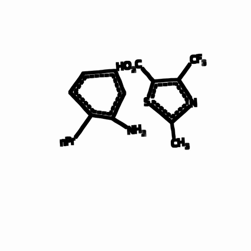 CCCc1ccccc1N.Cc1nc(C(F)(F)F)c(C(=O)O)s1